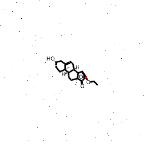 CCOCO[C@]12C=CC(=O)[C@@]1(C)CC[C@H]1[C@H]2CC=C2C[C@@H](O)CC[C@@]21C